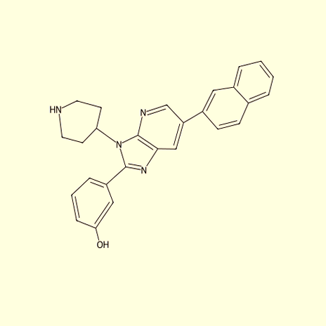 Oc1cccc(-c2nc3cc(-c4ccc5ccccc5c4)cnc3n2C2CCNCC2)c1